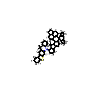 CC1(C)c2ccccc2N(c2cccc3c2C(C)(C)c2c-3ccc3c2-c2ccc4c5c(ccc(c25)C32c3ccccc3-c3ccccc32)CC4)c2cc3sc4ccccc4c3cc21